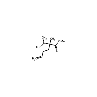 C=CCCC(C)(C(=O)OC)N(C)C